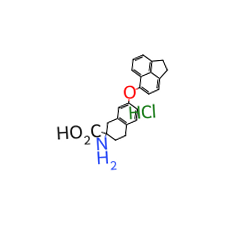 Cl.NC1(C(=O)O)CCc2ccc(Oc3ccc4c5c(cccc35)CC4)cc2C1